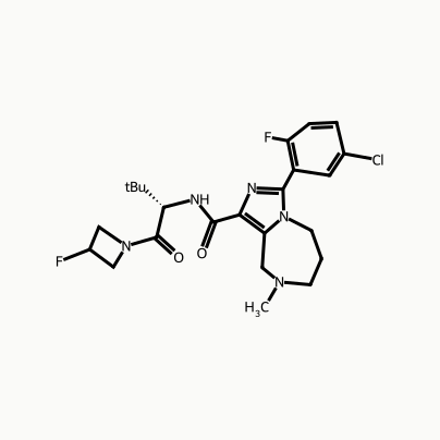 CN1CCCn2c(-c3cc(Cl)ccc3F)nc(C(=O)N[C@H](C(=O)N3CC(F)C3)C(C)(C)C)c2C1